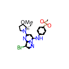 COC[C@H]1CCCN1c1cc(Nc2ccc(S(C)(=O)=O)cc2)n2ncc(Br)c2n1